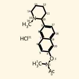 CC(=O)N(C)Oc1ccc2cc(C3CCCCN3C)ccc2c1.Cl